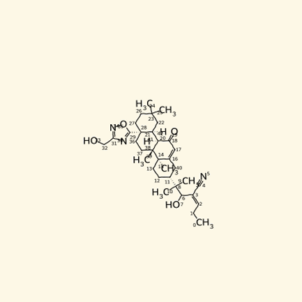 CC/C=C(/C#N)C(O)C(C)(C)[C@@H]1CC[C@]2(C)C(=CC(=O)[C@@H]3[C@@H]4CC(C)(C)CC[C@]4(c4nc(CO)no4)CC[C@]32C)C1